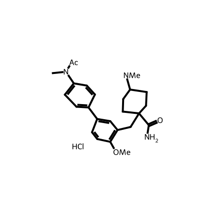 CNC1CCC(Cc2cc(-c3ccc(N(C)C(C)=O)cc3)ccc2OC)(C(N)=O)CC1.Cl